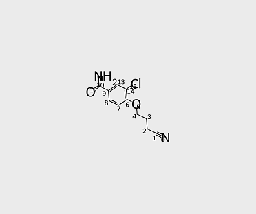 N#CCCCOc1ccc(C(N)=O)cc1Cl